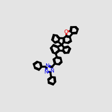 c1ccc(-c2nc(-c3ccccc3)nc(-c3cccc(-c4cccc5c4-c4ccccc4C54c5ccccc5-c5c4ccc4c5oc5ccccc54)c3)n2)cc1